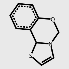 C1=CN2COc3ccccc3C2S1